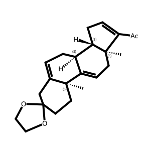 CC(=O)C1=CC[C@H]2[C@@H]3CC=C4CC5(CC[C@]4(C)C3=CC[C@]12C)OCCO5